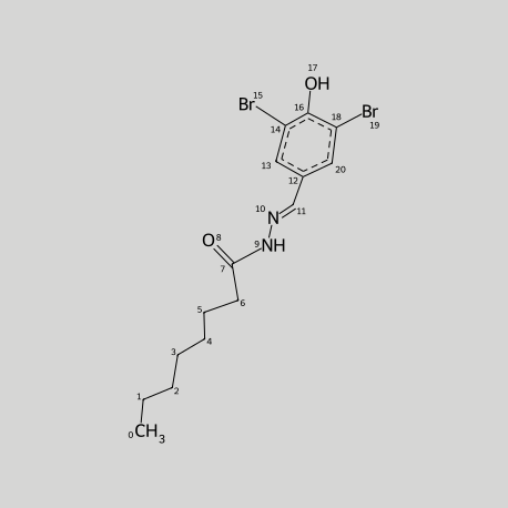 CCCCCCCC(=O)NN=Cc1cc(Br)c(O)c(Br)c1